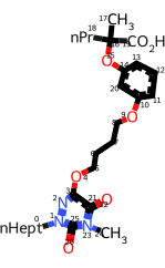 CCCCCCCn1nc(OCCCCOc2cccc(OC(C)(CCC)C(=O)O)c2)c(=O)n(C)c1=O